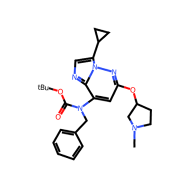 CN1CCC(Oc2cc(N(Cc3ccccc3)C(=O)OC(C)(C)C)c3ncc(C4CC4)n3n2)C1